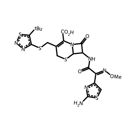 CON=C(C(=O)NC1C(=O)N2C(C(=O)O)=C(CSc3nnsc3C(C)(C)C)CSC12)c1csc(N)n1